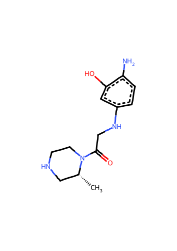 C[C@@H]1CNCCN1C(=O)CNc1ccc(N)c(O)c1